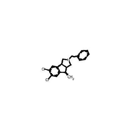 C=C1c2cc(Cl)c(Cl)cc2C2CN(Cc3ccccc3)CC12